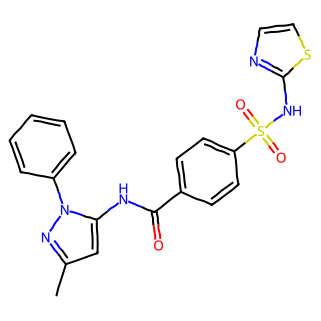 Cc1cc(NC(=O)c2ccc(S(=O)(=O)Nc3nccs3)cc2)n(-c2ccccc2)n1